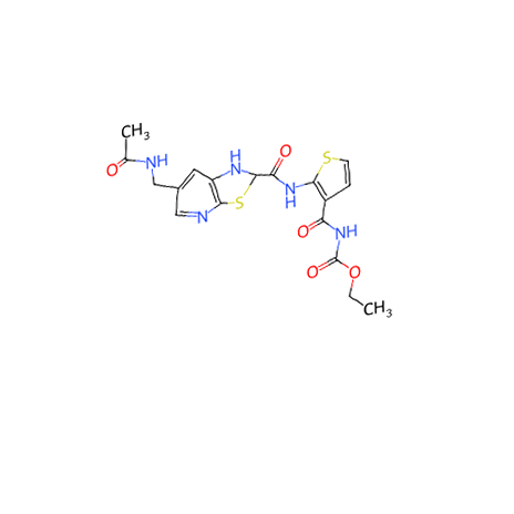 CCOC(=O)NC(=O)c1ccsc1NC(=O)C1Nc2cc(CNC(C)=O)cnc2S1